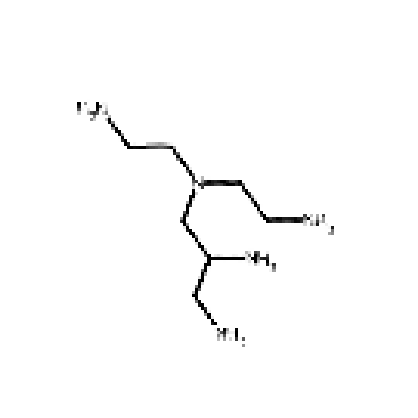 NCCN(CCN)CC(N)CN